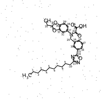 CCCCCCCCCCCc1noc(-c2cccc(CN(C(=O)C(=O)O)c3ccc4c(c3)OC(CC)O4)c2)n1